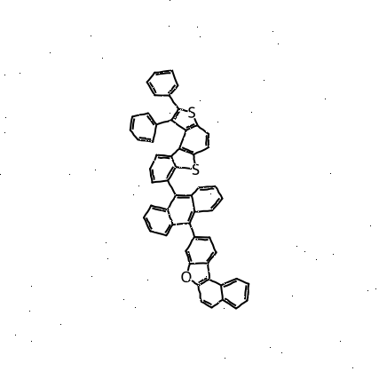 c1ccc(-c2sc3ccc4sc5c(-c6c7ccccc7c(-c7ccc8c(c7)oc7ccc9ccccc9c78)c7ccccc67)cccc5c4c3c2-c2ccccc2)cc1